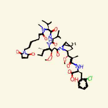 CC[C@H](C)C(C(CC(=O)N1C2C[C@@H]2C[C@H]1[C@H](OC)[C@@H](C)C(=O)N[C@@H](Cc1ccccc1Cl)C(=O)O)OC)N(C)C(=O)[C@@H](NC(=O)[C@H](C(C)C)N(C)C(=O)CCCCCN1C(=O)C=CC1=O)C(C)C